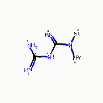 CCCN(CC)C(=N)NC(=N)N